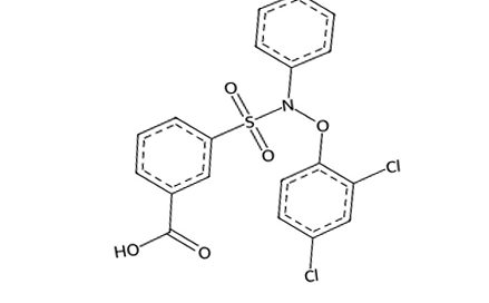 O=C(O)c1cccc(S(=O)(=O)N(Oc2ccc(Cl)cc2Cl)c2ccccc2)c1